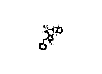 Cc1nc2c(n1Cc1ccccc1)C(=O)N(C)C1=N[C@H]3CCC[C@H]3N12